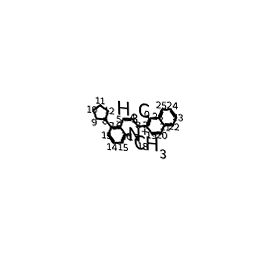 Cc1c(-c2ccc3c(C4CCCC4)cccc3[n+]2C)ccc2ccccc12